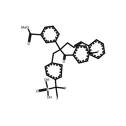 COC(=O)c1cccc(C(CC=Cc2ccccc2)(Cc2ccc(C(F)(F)P(=O)(O)O)cc2)C(=O)c2ccc(F)cc2)c1